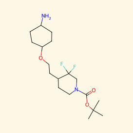 CC(C)(C)OC(=O)N1CCC(CCOC2CCC(N)CC2)C(F)(F)C1